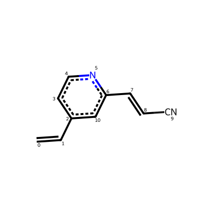 C=Cc1ccnc(C=CC#N)c1